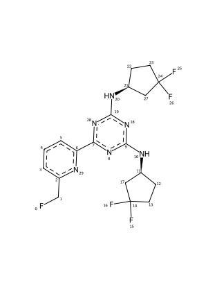 FCc1cccc(-c2nc(N[C@H]3CCC(F)(F)C3)nc(N[C@H]3CCC(F)(F)C3)n2)n1